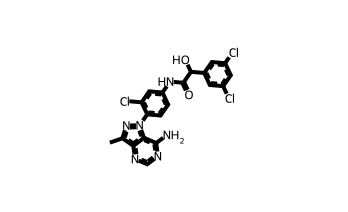 Cc1nn(-c2ccc(NC(=O)C(O)c3cc(Cl)cc(Cl)c3)cc2Cl)c2c(N)ncnc12